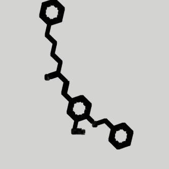 COc1cc(C=CC(=O)CCCCc2ccccc2)ccc1OCc1ccccc1